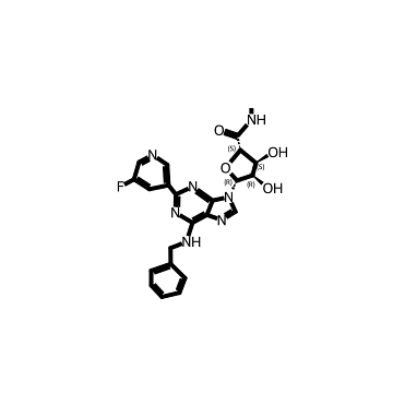 CNC(=O)[C@H]1O[C@@H](n2cnc3c(NCc4ccccc4)nc(-c4cncc(F)c4)nc32)[C@H](O)[C@@H]1O